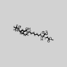 COC(=O)CC[C@H](NCCCCCCCn1cnc2nc(NC(=O)C(C)(C)C)cc-2c1O)C(=O)OC